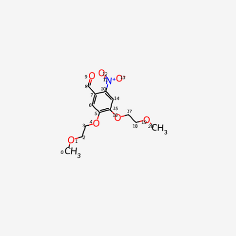 COCCOc1cc(C=O)c([N+](=O)[O-])cc1OCCOC